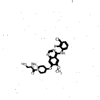 COc1cc2c(Nc3cccc(Cl)c3F)ncnc2cc1OC1CCN(C(=O)[C@@H](N)CO)CC1